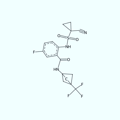 N#CC1(S(=O)(=O)Nc2ccc(F)cc2C(=O)NC23CC(C(F)(F)F)(C2)C3)CC1